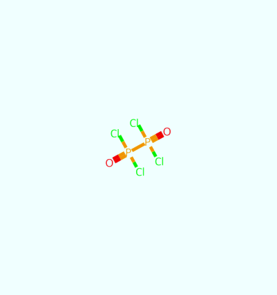 O=P(Cl)(Cl)P(=O)(Cl)Cl